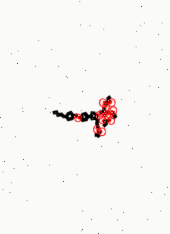 C=C(C)C(=O)OCCCc1cc(-c2ccc(OCC3CCC(CCCCC)CC3)cc2)ccc1OCC(COC(=O)C(=C)C)(COC(=O)C(=O)CC)COC(=O)C(=O)CC